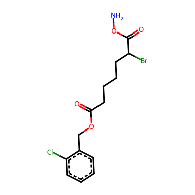 NOC(=O)C(Br)CCCCC(=O)OCc1ccccc1Cl